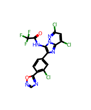 O=C(Nc1c(-c2ccc(-c3ncno3)c(Cl)c2)nc2c(Cl)cc(Cl)nn12)C(F)(F)F